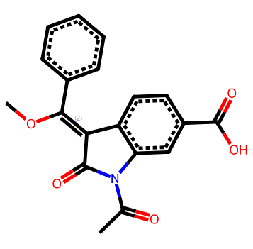 CO/C(=C1\C(=O)N(C(C)=O)c2cc(C(=O)O)ccc21)c1ccccc1